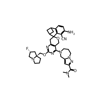 CN(C)C(=O)c1cc2n(n1)CCCN(c1nc(OC[C@@]34CCCN3C[C@H](F)C4)nc3c1COC1(C3)c3c(ccc(N)c3C#N)C3CC1C3)C2